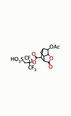 CC(=O)OC1C2CC3C1OC(=O)C3C2C(=O)OC(CS(=O)(=O)O)(C(F)(F)F)C(F)(F)F